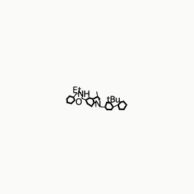 CCC(NC(=O)c1ccc2c(c1)c(C)cn2Cc1ccc(-c2ccccc2C(C)(C)C)cc1)c1ccccc1